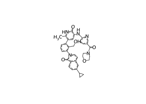 Cc1[nH]c(=O)c(Nc2ccc(C(=O)N3CCOCC3)cn2)cc1-c1cccc(-n2ccc3cc(C4CC4)ccc3c2=O)c1CO